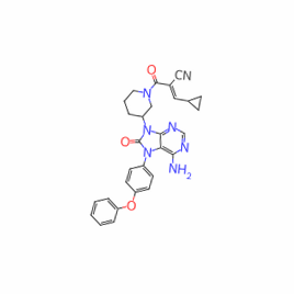 N#CC(=CC1CC1)C(=O)N1CCCC(n2c(=O)n(-c3ccc(Oc4ccccc4)cc3)c3c(N)ncnc32)C1